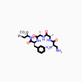 CC(C)C[C@H](NC(=O)[C@H](Cc1ccccc1)NC(=O)[C@H](C)NC(=O)[C@H](C)NC(=O)[C@@H](N)CN)C(=O)O